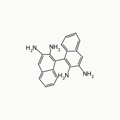 Nc1cc2ccccc2c(-c2c(N)c(N)cc3ccccc23)c1N